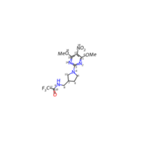 COc1nc(N2CCC(CNC(=O)C(F)(F)F)C2)nc(OC)c1[N+](=O)[O-]